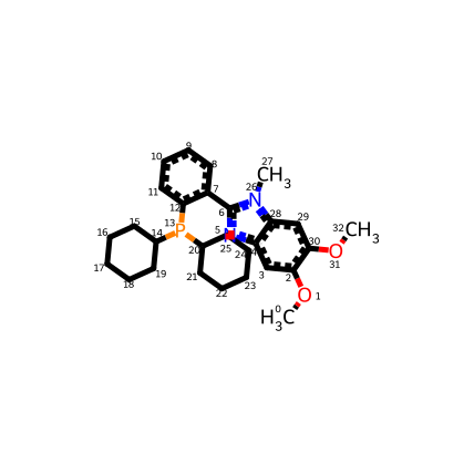 COc1cc2nc(-c3ccccc3P(C3CCCCC3)C3CCCCC3)n(C)c2cc1OC